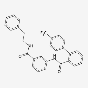 O=C(NCCc1ccccc1)c1cccc(NC(=O)c2ccccc2-c2ccc(C(F)(F)F)cc2)c1